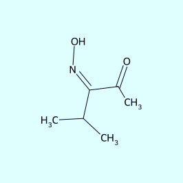 CC(=O)/C(=N\O)C(C)C